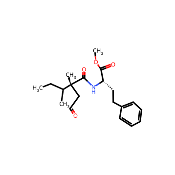 CCC(C)[C@@](C)(CC=O)C(=O)N[C@@H](CCc1ccccc1)C(=O)OC